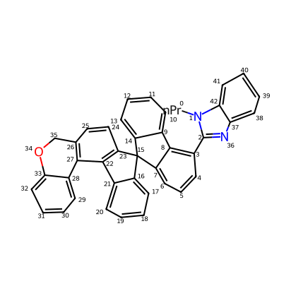 CCCn1c(-c2cccc3c2-c2ccccc2C32c3ccccc3-c3c2ccc2c3-c3ccccc3OC2)nc2ccccc21